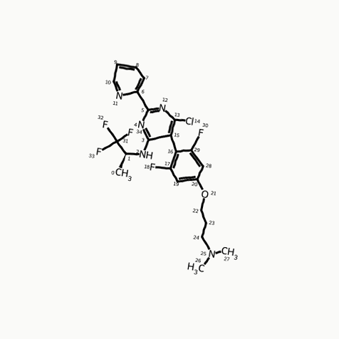 C[C@H](Nc1nc(-c2ccccn2)nc(Cl)c1-c1c(F)cc(OCCCN(C)C)cc1F)C(F)(F)F